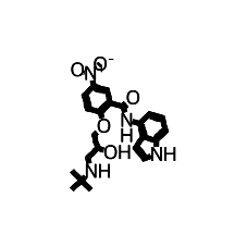 CC(C)(C)NCC(O)COc1ccc([N+](=O)[O-])cc1C(=O)Nc1cccc2[nH]ccc12